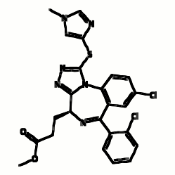 COC(=O)CC[C@@H]1N=C(c2ccccc2Cl)c2cc(Cl)ccc2-n2c(Sc3cn(C)cn3)nnc21